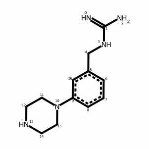 N=C(N)NCc1cccc(N2CCNCC2)c1